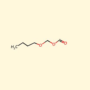 CCCCOCO[C]=O